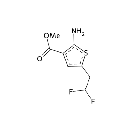 COC(=O)c1cc(CC(F)F)sc1N